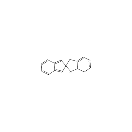 [C]1C2CC=CC=C2CC12C=c1ccccc1=C2